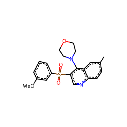 COc1cccc(S(=O)(=O)c2cnc3ccc(C)cc3c2N2CCOCC2)c1